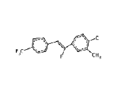 Cc1cc(C(F)=Cc2ccc(C(F)(F)F)cc2)ccc1Cl